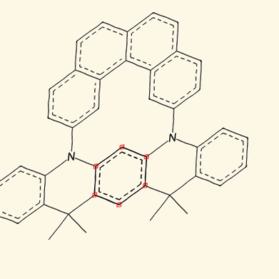 CC1(C)c2ccccc2N(c2ccc3ccc4ccc5ccc(N6c7ccccc7C(C)(C)c7ccccc76)cc5c4c3c2)c2ccccc21